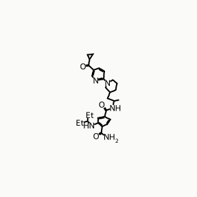 CCC(CC)Nc1cc(C(=O)NC(C)CC2CCCN(c3ccc(C(=O)C4CC4)cn3)C2)ccc1C(N)=O